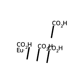 CC(=O)O.CC(=O)O.CC(=O)O.CC(=O)O.[Eu]